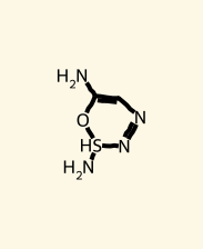 NC1=CN=N[SH](N)O1